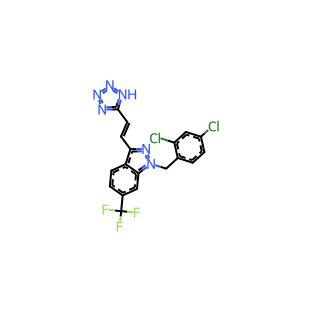 FC(F)(F)c1ccc2c(/C=C/c3nnn[nH]3)nn(Cc3ccc(Cl)cc3Cl)c2c1